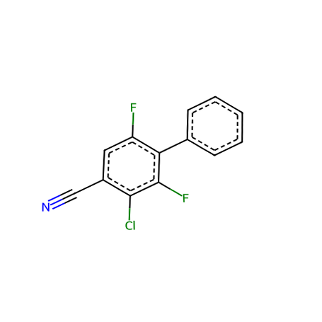 N#Cc1cc(F)c(-c2ccccc2)c(F)c1Cl